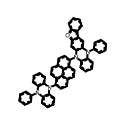 c1ccc(N2c3ccccc3N(c3ccc4ccc5c(N6c7ccccc7N(c7ccccc7)c7cc8c(cc76)oc6ccccc68)ccc6ccc3c4c65)c3ccccc32)cc1